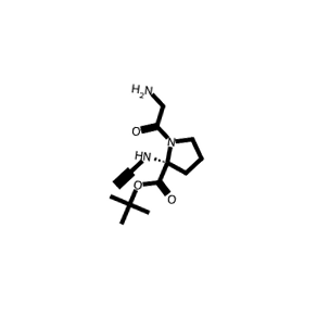 C#CN[C@@]1(C(=O)OC(C)(C)C)CCCN1C(=O)CN